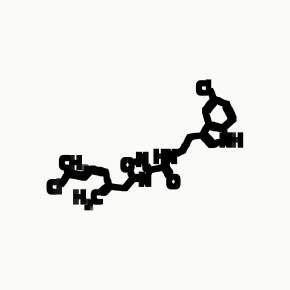 C=C(/C=C\C=C(/C)Cl)Cc1nc(C(=O)NCCc2c[nH]c3ccc(Cl)cc23)no1